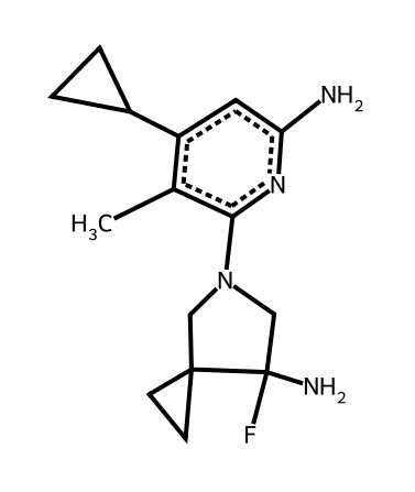 Cc1c(C2CC2)cc(N)nc1N1CC(N)(F)C2(CC2)C1